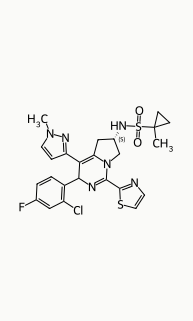 Cn1ccc(C2=C3C[C@H](NS(=O)(=O)C4(C)CC4)CN3C(c3nccs3)=NC2c2ccc(F)cc2Cl)n1